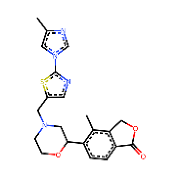 Cc1cn(-c2ncc(CN3CCOC(c4ccc5c(c4C)COC5=O)C3)s2)cn1